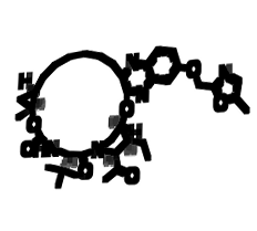 CC[C@@H]1[C@@H]2CN(C(=O)[C@H](C(C)(C)C)NC(=O)O[C@]3(C)C[C@H]3CCCCCCc3nc4ccc(OCc5ncc(C)o5)cc4nc3O2)[C@@H]1C(C)=O